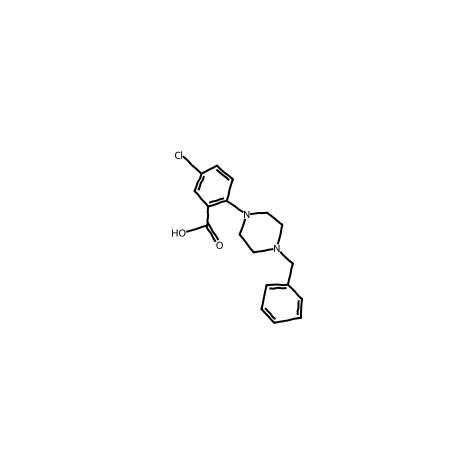 O=C(O)c1cc(Cl)ccc1N1CCN(Cc2ccccc2)CC1